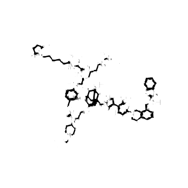 Cc1c(-c2ccc(N3CCc4cccc(CNc5nc6ccccc6s5)c4C3)nc2C(=O)O)cnn1CC12CC3(C)CC(C)(C1)CC(OCCN(C(=O)OCc1ccc(NC(=O)[C@H](CCCCNC(N)=O)NC(=O)[C@@H](NC(=O)CCCCCN4C(=O)C=CC4=O)C(C)C)cc1)C1CCN(CC(=O)O)CC1)(C3)C2